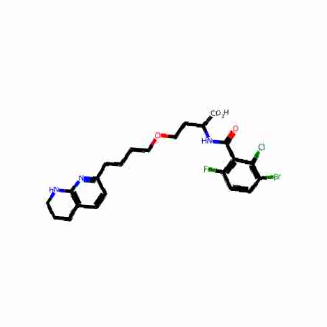 O=C(NC(CCOCCCCc1ccc2c(n1)NCCC2)C(=O)O)c1c(F)ccc(Br)c1Cl